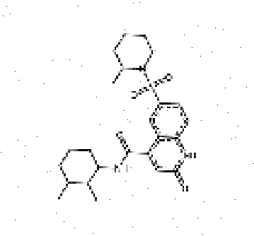 CC1CCCC(NC(=O)c2cc(=O)[nH]c3ccc(S(=O)(=O)N4CCCCC4C)cc23)C1C